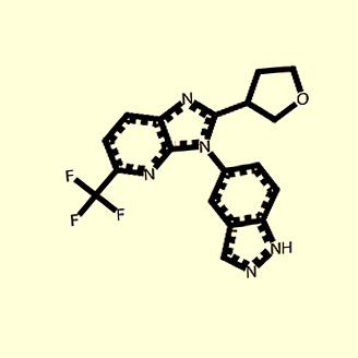 FC(F)(F)c1ccc2nc(C3CCOC3)n(-c3ccc4[nH]ncc4c3)c2n1